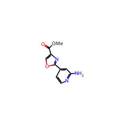 COC(=O)c1coc(-c2ccnc(N)c2)n1